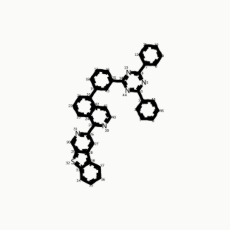 c1ccc(-c2nc(-c3ccccc3)nc(-c3cccc(-c4cccc5c(-c6cc7c(cn6)sc6ccccc67)nccc45)c3)n2)cc1